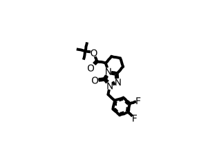 CC(C)(C)OC(=O)C1CCCc2nn(Cc3ccc(F)c(F)c3)c(=O)n21